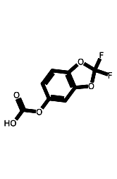 O=C(O)Oc1ccc2c(c1)OC(F)(F)O2